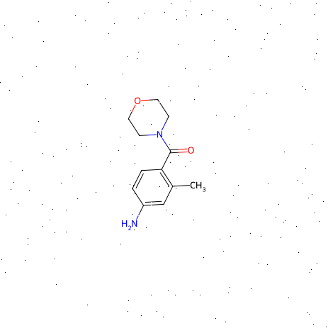 Cc1cc(N)ccc1C(=O)N1CCOCC1